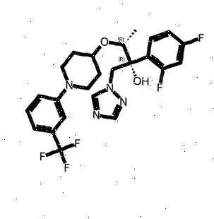 C[C@@H](OC1CCN(c2cccc(C(F)(F)F)c2)CC1)[C@](O)(Cn1cncn1)c1ccc(F)cc1F